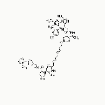 Cc1ncsc1-c1ccc(CNC(=O)[C@@H]2C[C@@H](O)CN2C(=O)[C@@H](NC(=O)COCCCOCCCOc2ccc([C@@H](C)NC(=O)C[C@@H]3N=C(c4ccc(Cl)cc4)c4c(sc(C)c4C)-n4c(C)nnc43)cc2)C(C)(C)C)cc1